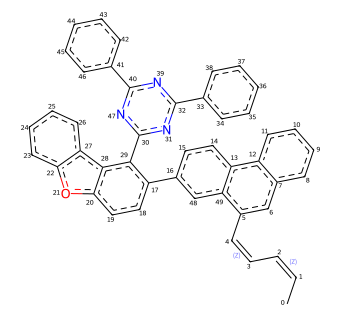 C/C=C\C=C/c1cc2ccccc2c2ccc(-c3ccc4oc5ccccc5c4c3-c3nc(-c4ccccc4)nc(-c4ccccc4)n3)cc12